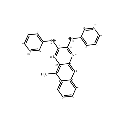 Cc1c2ccccc2cc2nc(Nc3cccnc3)c(Nc3cccnc3)nc12